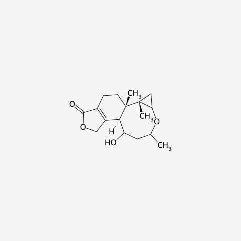 CC1CC(O)[C@H]2C3=C(CC[C@]2(C)[C@]2(C)CC2O1)C(=O)OC3